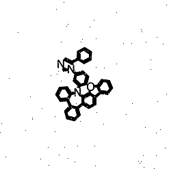 c1ccc(-c2cncn2-c2cccc(N3c4ccccc4-c4ccccc4-c4ccc5c(oc6ccccc65)c43)c2)cc1